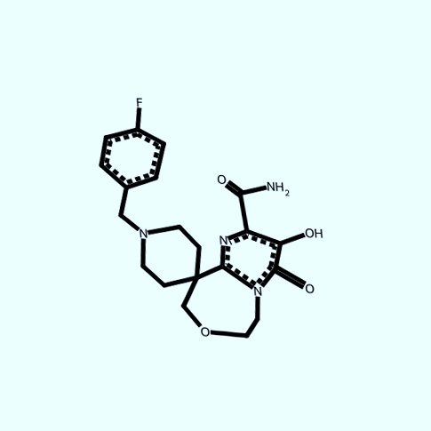 NC(=O)c1nc2n(c(=O)c1O)CCOCC21CCN(Cc2ccc(F)cc2)CC1